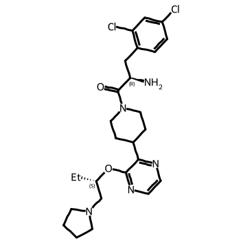 CC[C@@H](CN1CCCC1)Oc1nccnc1C1CCN(C(=O)[C@H](N)Cc2ccc(Cl)cc2Cl)CC1